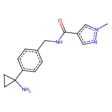 Cn1cc(C(=O)NCc2ccc(C3(N)CC3)cc2)cn1